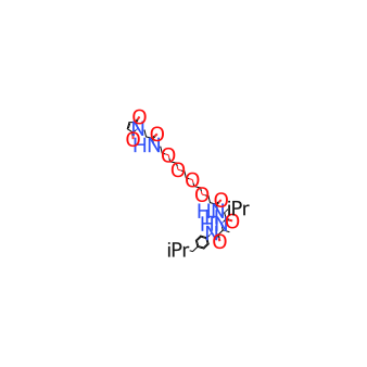 CC(C)Cc1ccc(NC(=O)[C@H](C)NC(=O)[C@@H](NC(=O)CCOCCOCCOCCOCCNC(=O)CCN2C(=O)C=CC2=O)C(C)C)cc1